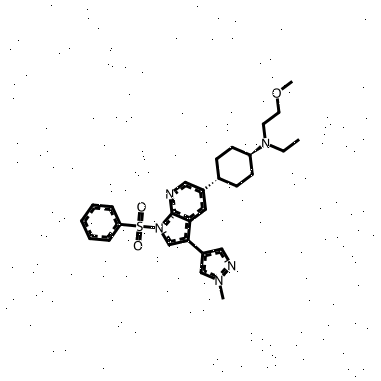 CCN(CCOC)[C@H]1CC[C@H](c2cnc3c(c2)c(-c2cnn(C)c2)cn3S(=O)(=O)c2ccccc2)CC1